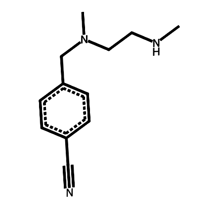 CNCCN(C)Cc1ccc(C#N)cc1